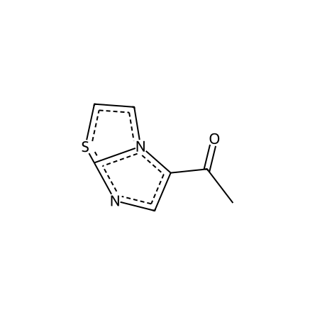 CC(=O)c1cnc2sccn12